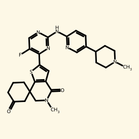 CN1CCC(c2ccc(Nc3ncc(F)c(-c4cc5c(s4)C4(CCCC(=O)C4)CN(C)C5=O)n3)nc2)CC1